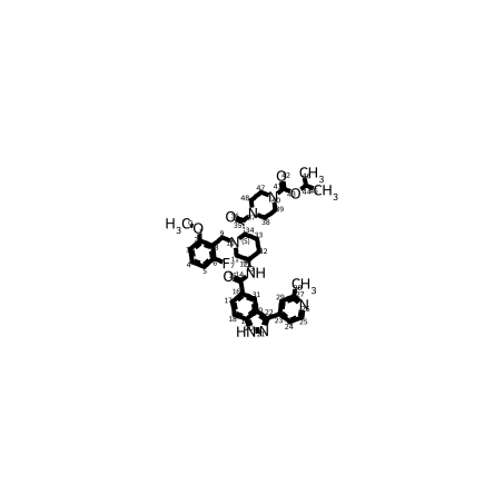 COc1cccc(F)c1CN1C[C@H](NC(=O)c2ccc3[nH]nc(-c4ccnc(C)c4)c3c2)CC[C@H]1C(=O)N1CCN(C(=O)OC(C)C)CC1